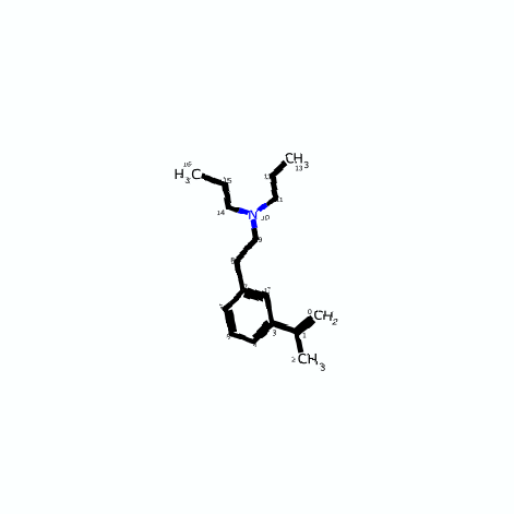 C=C(C)c1cccc(CCN(CCC)CCC)c1